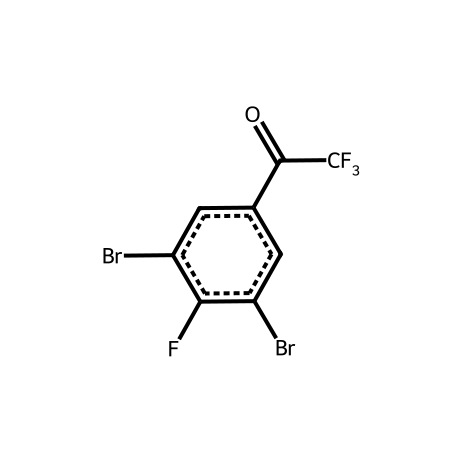 O=C(c1cc(Br)c(F)c(Br)c1)C(F)(F)F